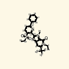 CCn1c(C(F)(F)F)cc2nc(-c3nc(-c4ccccc4)ccc3S(=O)(=O)CC)n(C)c2c1=O